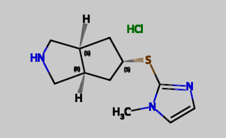 Cl.Cn1ccnc1S[C@@H]1C[C@H]2CNC[C@H]2C1